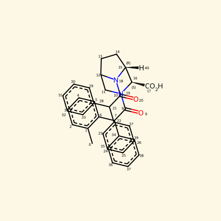 Cc1ccccc1C(C(=O)N1CC2CC[C@H]([C@H]1C(=O)O)N2C(=O)C(c1ccccc1)c1ccccc1)c1ccccc1